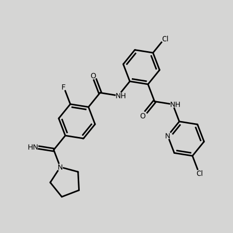 N=C(c1ccc(C(=O)Nc2ccc(Cl)cc2C(=O)Nc2ccc(Cl)cn2)c(F)c1)N1CCCC1